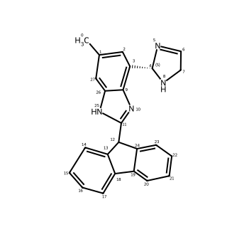 Cc1cc([C@@H]2N=CCN2)c2nc(C3c4ccccc4-c4ccccc43)[nH]c2c1